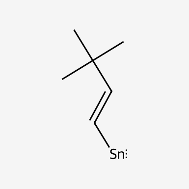 CC(C)(C)C=[CH][Sn]